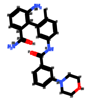 Cc1ccc(NC(=O)c2cccc(N3CCOCC3)c2)cc1-c1c(N)cccc1C(N)=O